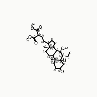 CC[C@@H]1[C@@H](O)C2C3CCC(CCC(C(=O)OC)C(=O)OC)[C@@]3(C)CCC2[C@@]2(C)CCC(=O)C[C@@H]12